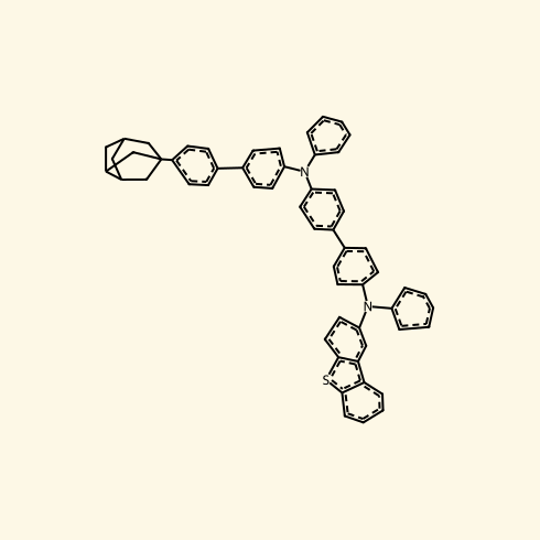 c1ccc(N(c2ccc(-c3ccc(N(c4ccccc4)c4ccc5sc6ccccc6c5c4)cc3)cc2)c2ccc(-c3ccc(C45CC6CC(C4)C(C6)C5)cc3)cc2)cc1